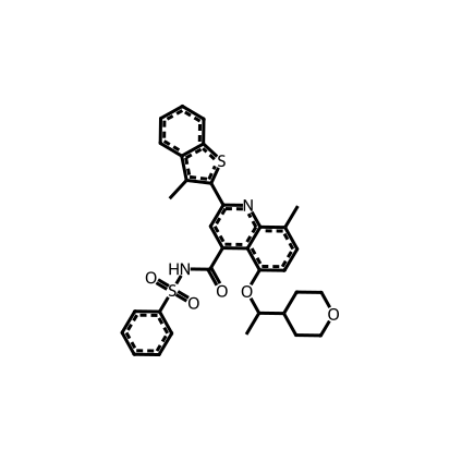 Cc1c(-c2cc(C(=O)NS(=O)(=O)c3ccccc3)c3c(OC(C)C4CCOCC4)ccc(C)c3n2)sc2ccccc12